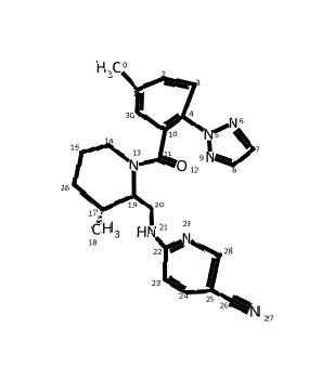 Cc1ccc(-n2nccn2)c(C(=O)N2CCC[C@@H](C)C2CNc2ccc(C#N)cn2)c1